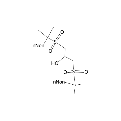 CCCCCCCCCC(C)(C)S(=O)(=O)CC(O)CS(=O)(=O)C(C)(C)CCCCCCCCC